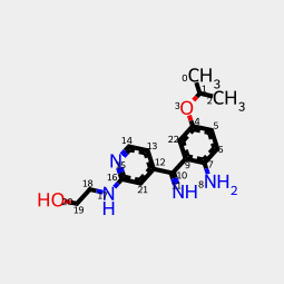 CC(C)Oc1ccc(N)c(C(=N)c2ccnc(NCCO)c2)c1